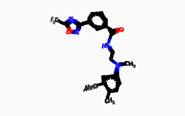 COc1cc(N(C)CCNC(=O)c2cccc(-c3noc(C(F)(F)F)n3)c2)ccc1C